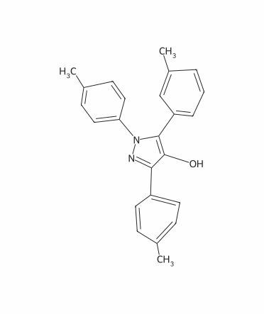 Cc1ccc(-c2nn(-c3ccc(C)cc3)c(-c3cccc(C)c3)c2O)cc1